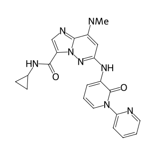 CNc1cc(Nc2cccn(-c3ccccn3)c2=O)nn2c(C(=O)NC3CC3)cnc12